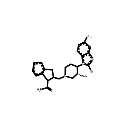 CCc1nc2cc(C)ccc2n1C1CCN(CC2Cc3c[c]ccc3C2C(N)=O)C[C@H]1OC